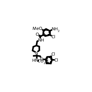 COc1cc(N)c(Cl)cc1C(=O)NCC1CCN(C(C)(COc2ccc(Cl)c(Cl)c2)NC(=O)O)CC1